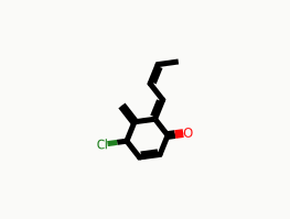 C=C1/C(=C\C=C/C)C(=O)C=CC1Cl